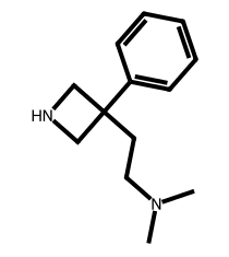 CN(C)CCC1(c2ccccc2)CNC1